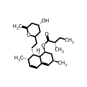 C=C1C[C@H](O)CC(CC[C@@H]2[C@@H]3C(=C[C@H](C)C[C@@H]3OC(=O)[C@@H](C)CC)C=C[C@@H]2C)O1